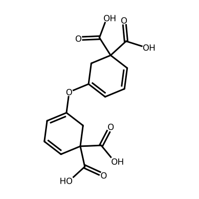 O=C(O)C1(C(=O)O)C=CC=C(OC2=CC=CC(C(=O)O)(C(=O)O)C2)C1